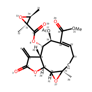 C=C1C(=O)O[C@H]2[C@H]1[C@H](OC(=O)[C@@]1(C)O[C@H]1C)[C@@H](OC(C)=O)/C(C(=O)OC)=C\CC[C@@]1(C)O[C@H]21